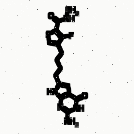 BNC(=O)c1scc(CCCCc2cc3c(=O)[nH]c(N)nc3[nH]2)c1F